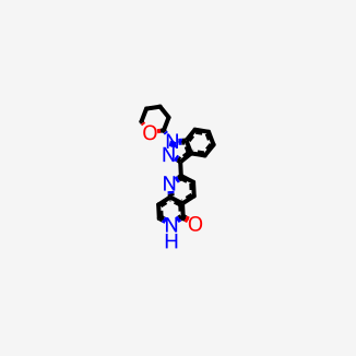 O=c1[nH]ccc2nc(-c3nn(C4CCCCO4)c4ccccc34)ccc12